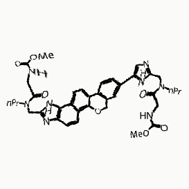 CCCN(Cc1ncc(-c2ccc3c(c2)COc2c-3ccc3c2ccc2nc(CN(CCC)C(=O)CNC(=O)OC)[nH]c23)[nH]1)C(=O)CNC(=O)OC